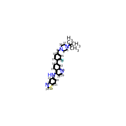 CC(C)(C)N1CCN(Cc2ccc(-c3ccc4c(Nc5ccc6scnc6c5)ccnc4c3)c(F)c2)CC1